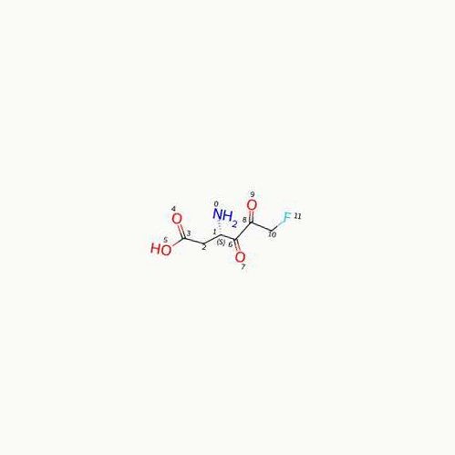 N[C@@H](CC(=O)O)C(=O)C(=O)CF